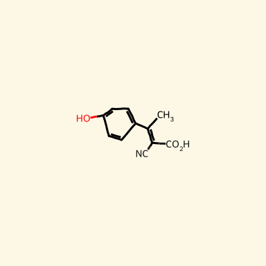 C/C(=C(/C#N)C(=O)O)c1ccc(O)cc1